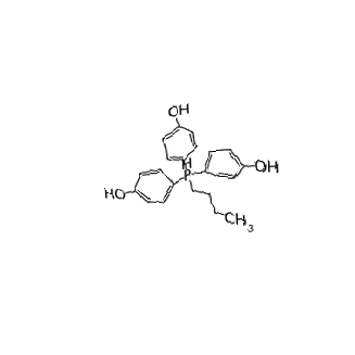 CCCC[PH](c1ccc(O)cc1)(c1ccc(O)cc1)c1ccc(O)cc1